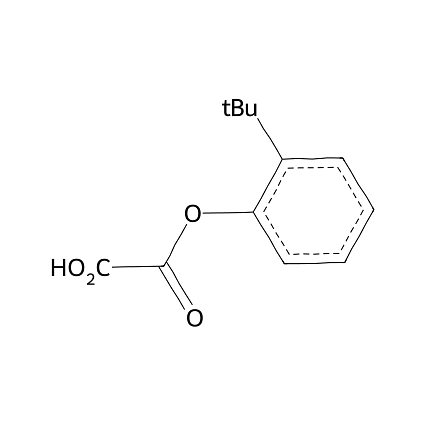 CC(C)(C)c1ccccc1OC(=O)C(=O)O